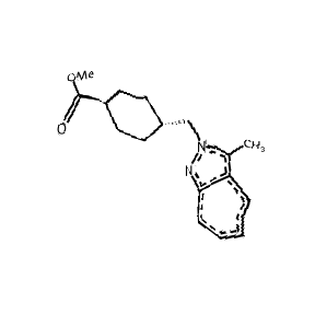 COC(=O)[C@H]1CC[C@H](Cn2nc3ccccc3c2C)CC1